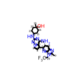 Cc1nc2ccc(-c3ccn4nc(NC5CCC(C)(O)CC5)nc(N)c34)nc2n1CC(F)(F)F